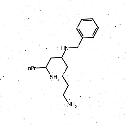 CCCC(N)CC(CCCCN)NCc1ccccc1